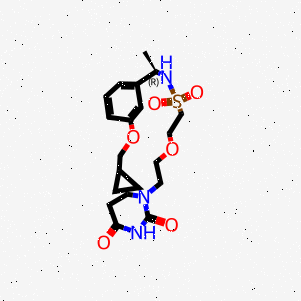 C[C@@H](NS(=O)(=O)CCOCCN1CCC(=O)NC1=O)c1cccc(OCC2CC2)c1